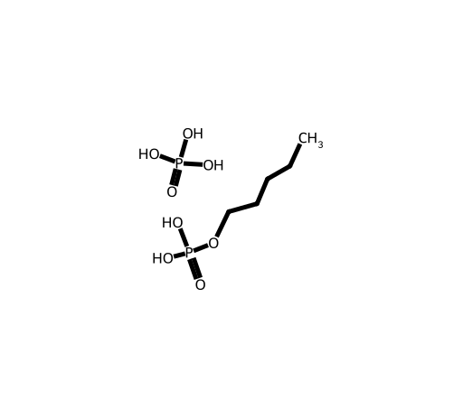 CCCCCOP(=O)(O)O.O=P(O)(O)O